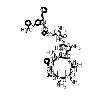 CNC(=O)c1ccccc1Sc1ccc2c(/C=C/c3ccccn3)nn(C(=O)N(C)CC3(SSCC(=O)N[C@@H](CCN)C(=O)NC[C@H](C(=O)N[C@@H](CCN)C(=O)N[C@H]4CCNC(=O)[C@H]([C@@H](C)O)NC(=O)[C@H](CCN)NC(=O)[C@H](CCN)NC(=O)[C@H](CC(C)C)NC(=O)[C@@H](Cc5ccccc5)NC(=O)[C@H](CCN)NC4=O)[C@@H](C)O)CCC3)c2c1